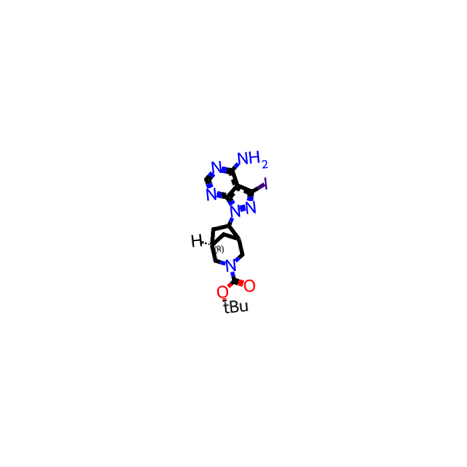 CC(C)(C)OC(=O)N1CC2C[C@H](CC2n2nc(I)c3c(N)ncnc32)C1